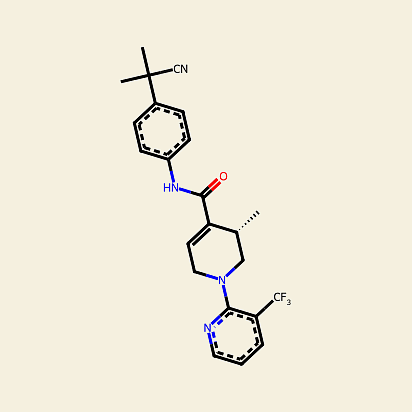 C[C@@H]1CN(c2ncccc2C(F)(F)F)CC=C1C(=O)Nc1ccc(C(C)(C)C#N)cc1